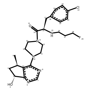 C[C@@H]1C[C@@H](O)c2ncnc(N3CCN(C(=O)[C@@H](Cc4ccc(Cl)cc4)NCCCF)CC3)c21